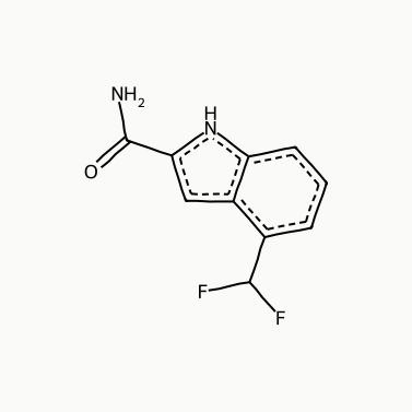 NC(=O)c1cc2c(C(F)F)cccc2[nH]1